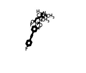 CN1C(=O)N(c2c(F)cc(C#Cc3ccc(F)cc3)cc2F)C(=O)C[C@@]1(C)c1cnn(C)c1